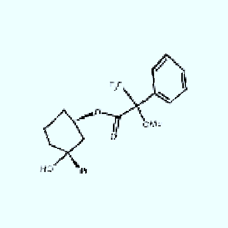 COC(C(=O)O[C@@H]1CCC[C@](O)(C(C)C)C1)(c1ccccc1)C(F)(F)F